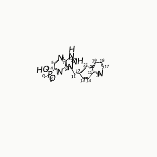 CP(=O)(O)c1cnc2c(n1)N(Cc1ccc3ncccc3c1)NN2